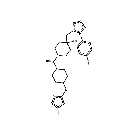 Cc1cc(NC2CCC(C(=O)N3CCC(O)(Cc4ccnn4-c4ccc(F)cc4)CC3)CC2)no1